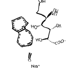 C=O.O=C([O-])[C@H](O)[C@@H](O)[C@H](O)[C@H](O)CO.[Na+].c1ccc2ccccc2c1